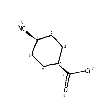 N#C[C@H]1CC[C@@H](C(=O)Cl)CC1